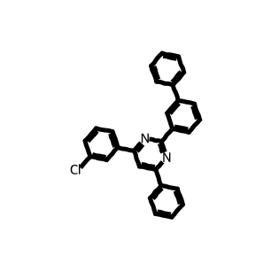 Clc1cccc(-c2cc(-c3ccccc3)nc(-c3cccc(-c4ccccc4)c3)n2)c1